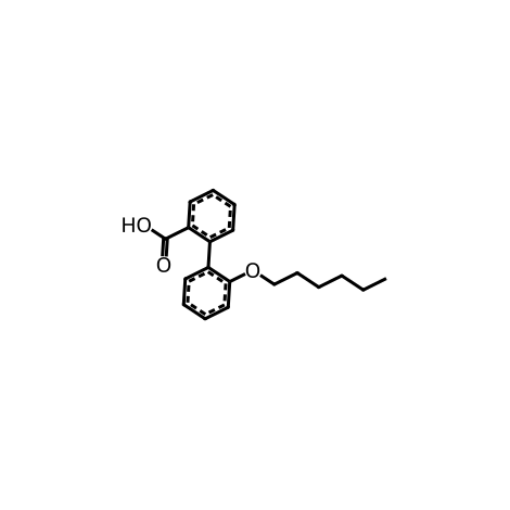 CCCCCCOc1ccccc1-c1ccccc1C(=O)O